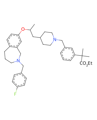 CCOC(=O)C(C)(C)c1cccc(CN2CCC(CC(C)Oc3ccc4c(c3)CN(Cc3ccc(F)cc3)CCC4)CC2)c1